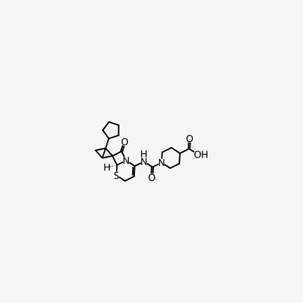 O=C(O)C1CCN(C(=O)NC2=CCS[C@@H]3N2C(=O)C32C3CC32C2CCCC2)CC1